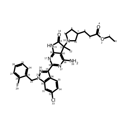 CCOC(=O)CCC1CCN(C2(C)C(=O)Nc3nc(-c4nn(Cc5ccccc5F)c5cc(Cl)ccc45)nc(N)c32)C1